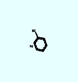 N#Cc1ccccc1.[Pd]